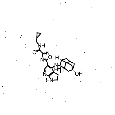 O=C(NCC1CC1)c1noc(-c2cnc3c(c2N[C@H]2[C@@H]4CC5C[C@H]2C[C@@](O)(C5)C4)CCN3)n1